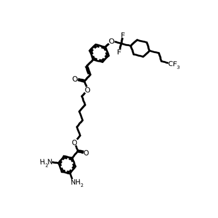 Nc1cc(N)cc(C(=O)OCCCCCCOC(=O)C=Cc2ccc(OC(F)(F)C3CCC(CCC(F)(F)F)CC3)cc2)c1